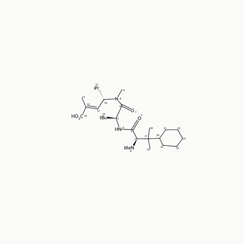 CN[C@@H](C(=O)N[C@H](C(=O)N(C)[C@H](/C=C(\C)C(=O)O)C(C)C)C(C)(C)C)C(C)(C)C1CCCCC1